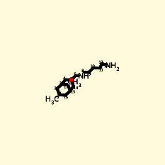 CC1CC2CC(CNCCCCCN)CC(C1)C2C